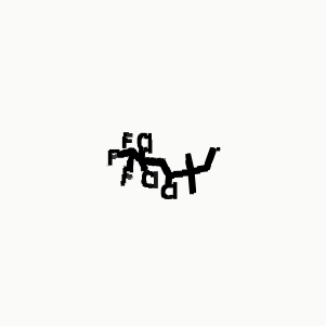 [CH2]CC(C)(C)C(Cl)CC(Cl)(Cl)C(F)(F)F